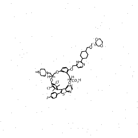 Cc1c(Cl)c2c(Cl)c(C)c1-c1c(-c3ccc(F)cc3)sc3ncnc(c13)O[C@@H](C(=O)O)Cc1cc(ccc1OCc1ccnc(C3CCC(COC[C@H]4COCCO4)CC3)n1)OC[C@@H](CN1CCN(C)CC1)O2